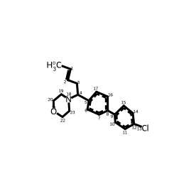 C/C=C/CC(c1ccc(-c2ccc(Cl)cc2)cc1)N1CCOCC1